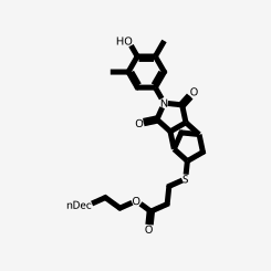 CCCCCCCCCCCCOC(=O)CCSC1CC2CC1C1C(=O)N(c3cc(C)c(O)c(C)c3)C(=O)C21